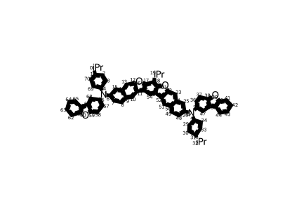 CC(C)c1ccc(N(c2ccc3cc4c(cc3c2)oc2c(C(C)C)c3oc5cc6cc(N(c7ccc(C(C)C)cc7)c7ccc8oc9ccccc9c8c7)ccc6cc5c3cc24)c2ccc3oc4ccccc4c3c2)cc1